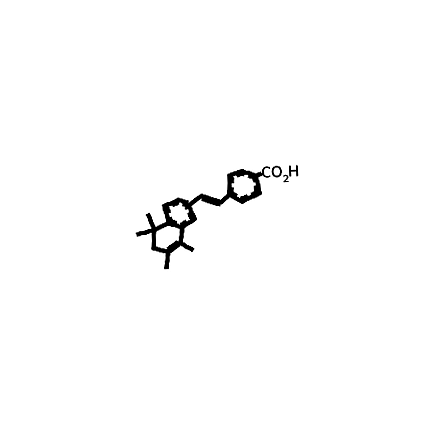 CC1=C(C)c2cc(C=Cc3ccc(C(=O)O)cc3)ccc2C(C)(C)C1